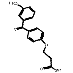 COC(=O)CCOc1ccc(C(=O)c2cccc(O)c2)cc1